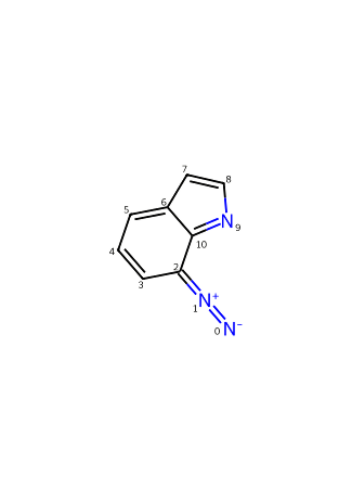 [N-]=[N+]=C1C=CC=C2C=CN=C21